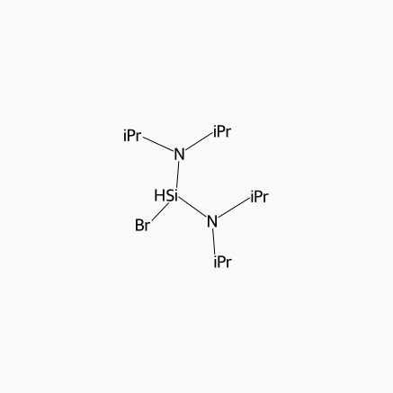 CC(C)N(C(C)C)[SiH](Br)N(C(C)C)C(C)C